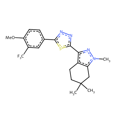 COc1ccc(-c2nnc(-c3nn(C)c4c3CCC(C)(C)C4)s2)cc1C(F)(F)F